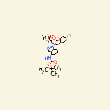 CCC(Cc1ccc(Cl)cc1)(C(=O)O)n1ncc2c(NC(=O)OC(C)(C)C)cccc21